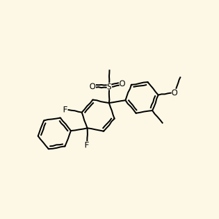 COc1ccc(C2(S(C)(=O)=O)C=CC(F)(c3ccccc3)C(F)=C2)cc1C